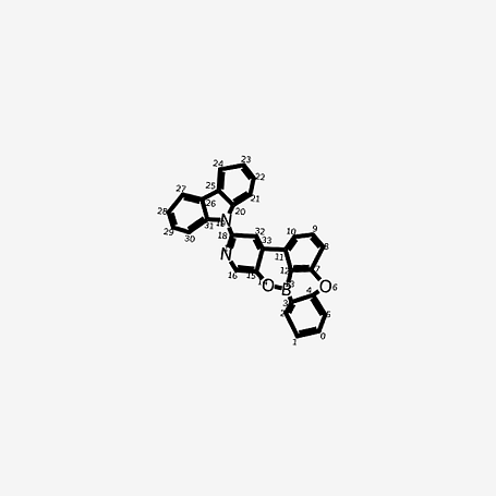 c1ccc2c(c1)Oc1cccc3c1B2Oc1cnc(-n2c4ccccc4c4ccccc42)cc1-3